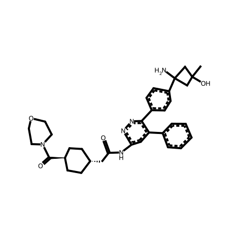 CC1(O)CC(N)(c2ccc(-c3nnc(NC(=O)C[C@H]4CC[C@H](C(=O)N5CCOCC5)CC4)cc3-c3ccccc3)cc2)C1